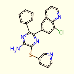 Nc1nc(-c2ccccc2)c(-c2cc(Cl)c3ncccc3c2)nc1Sc1cccnc1